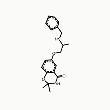 CC(COc1ccc2c(c1)C(=O)NC(C)(C)O2)NCc1ccccc1